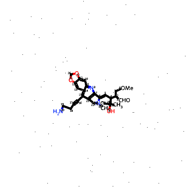 COCC(C=O)C(/C=C1/c2nc3cc4c(cc3c(C#CCCN)c2CN1C)OCO4)C(C)(C)O